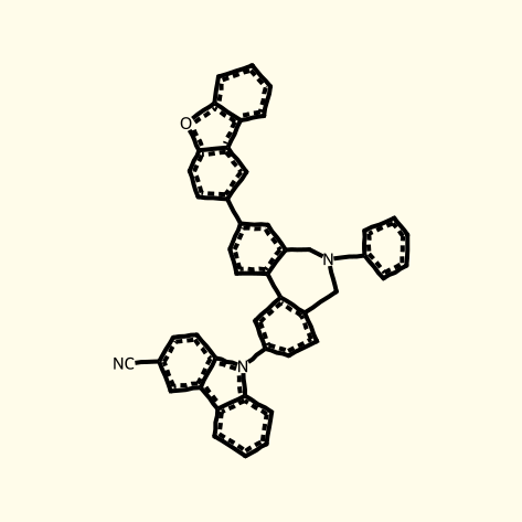 N#Cc1ccc2c(c1)c1ccccc1n2-c1ccc2c(c1)-c1ccc(-c3ccc4oc5ccccc5c4c3)cc1CN(c1ccccc1)C2